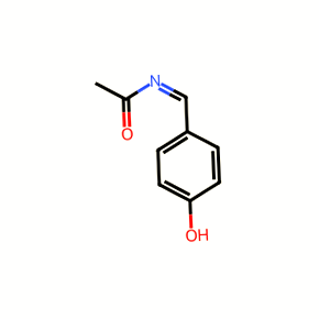 CC(=O)/N=C\c1ccc(O)cc1